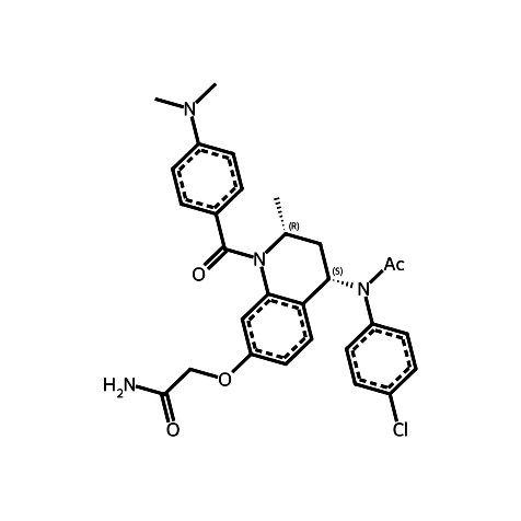 CC(=O)N(c1ccc(Cl)cc1)[C@H]1C[C@@H](C)N(C(=O)c2ccc(N(C)C)cc2)c2cc(OCC(N)=O)ccc21